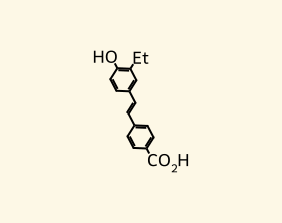 CCc1cc(C=Cc2ccc(C(=O)O)cc2)ccc1O